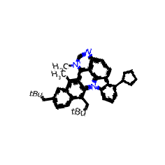 Cc1c2cc(CC(C)(C)C)ccc2c(CC(C)(C)C)c2c1c1c3c(ccc4c5c(C6CCCC6)cccc5n2c43)nc[n+]1C